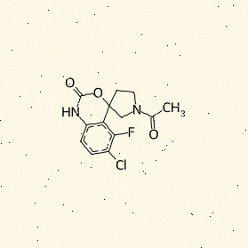 CC(=O)N1CCC2(C1)OC(=O)Nc1ccc(Cl)c(F)c12